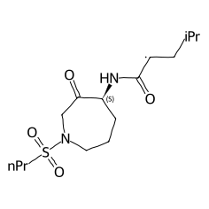 CCCS(=O)(=O)N1CCC[C@H](NC(=O)[CH]CC(C)C)C(=O)C1